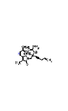 C=CCC#C[C@](C=O)(CN1CC(/C=C\C(=C)OC)=C(C)C1=O)NC(N)=O